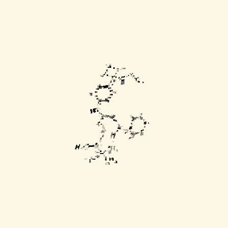 CN(c1nc(Nc2ccc(C3(OC=O)CCC3)cc2)cc(-c2ccccc2)n1)C(C)(C)C